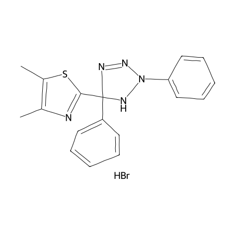 Br.Cc1nc(C2(c3ccccc3)N=NN(c3ccccc3)N2)sc1C